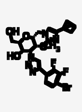 CO[C@@H]1[C@@H](n2cc(-c3ccc(Br)c(F)c3F)nn2)[C@@H](O)[C@@H](CO)O[C@@H]1Cn1cc(C23CC(C2)C3)nn1